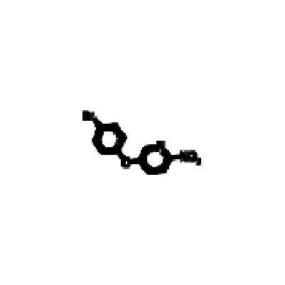 O=[N+]([O-])c1ccc(Oc2ccc(Br)cc2)cn1